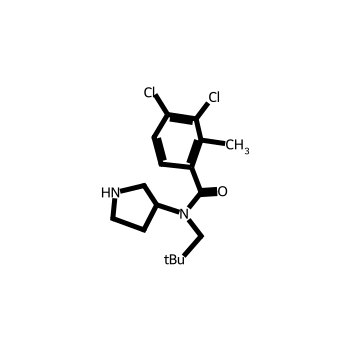 Cc1c(C(=O)N(CC(C)(C)C)C2CCNC2)ccc(Cl)c1Cl